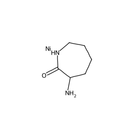 NC1CCCCNC1=O.[Ni]